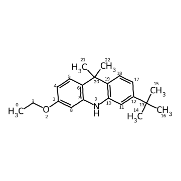 CCOc1ccc2c(c1)Nc1cc(C(C)(C)C)ccc1C2(C)C